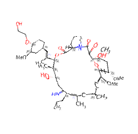 C=CC[C@@H]1/C=C(\C)C[C@H](C)C[C@H](OC)[C@H]2O[C@@](O)(C(=O)C(=O)N3CCCC[C@H]3C(=O)O[C@H](/C(C)=C/[C@@H]3CC[C@@H](OCCO)[C@H](OC)C3)[C@H](C)[C@@H](O)CC1=N)[C@H](C)C[C@@H]2OC